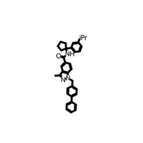 Cc1nn(Cc2ccc(-c3ccccc3)cc2)c2ccc(C(=O)NC3(c4cccc(C(C)C)c4)CCCC3)cc12